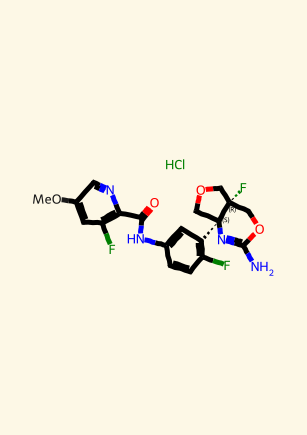 COc1cnc(C(=O)Nc2ccc(F)c([C@]34COC[C@@]3(F)COC(N)=N4)c2)c(F)c1.Cl